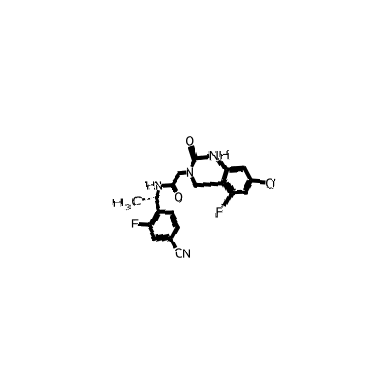 C[C@H](NC(=O)CN1Cc2c(F)cc(Cl)cc2NC1=O)c1ccc(C#N)cc1F